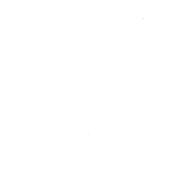 C=CC(=O)OC1C(=O)C2(CCCC2)C(=O)C1OCOC12CCCC3CC(CC3C1)C2